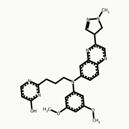 COc1cc(OC)cc(N(CCCc2nccc(O)n2)c2ccc3ncc(C4C=NN(C)C4)nc3c2)c1